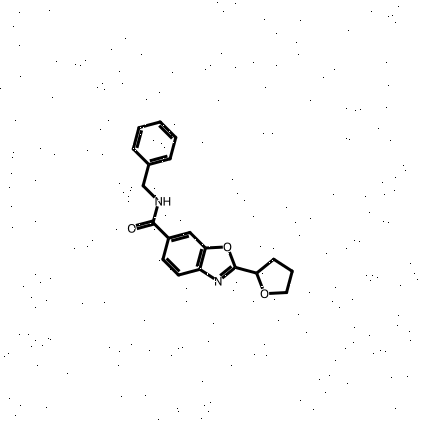 O=C(NCc1ccccc1)c1ccc2nc(C3CCCO3)oc2c1